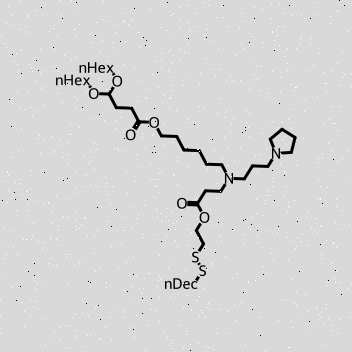 CCCCCCCCCCSSCCOC(=O)CCN(CCCCCCOC(=O)CCC(OCCCCCC)OCCCCCC)CCCN1CCCC1